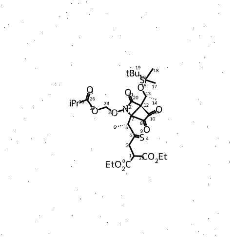 CCOC(=O)C(CC(=S)[C@H](C)[C@@]12C(=O)C(=O)[C@]1([C@@H](C)O[Si](C)(C)C(C)(C)C)C(=O)N2OCOC(=O)C(C)C)C(=O)OCC